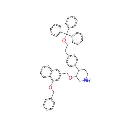 c1ccc(COc2cc(COC3CNCCC3c3ccc(CCOC(c4ccccc4)(c4ccccc4)c4ccccc4)cc3)cc3ccccc23)cc1